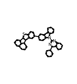 c1ccc(-c2nc(-n3c4ccccc4c4cc(-c5ccc6sc7c(c6c5)-c5cccc6cccc-7c56)ccc43)nc3ccccc23)cc1